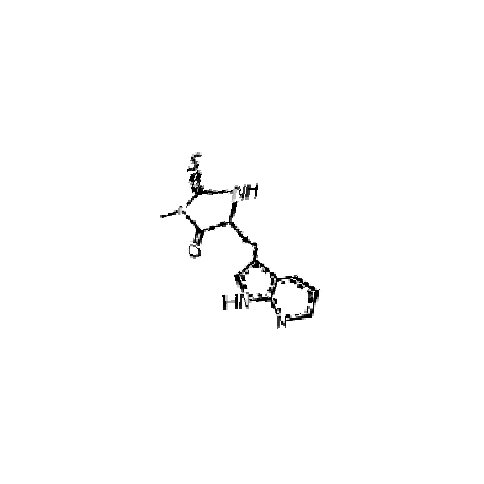 CN1C(=O)C(Cc2c[nH]c3ncccc23)NC1=S